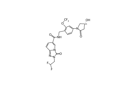 O=C(NCc1ccc(N2C[C@H](O)CC2=O)cc1OC(F)(F)F)c1ccc2nn(CC(F)F)c(=O)n2c1